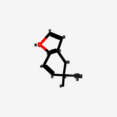 CC(C)(C)C1(C)C=Cc2occc2C1